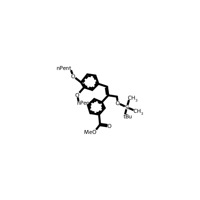 CCCCCOc1ccc(C=C(CO[Si](C)(C)C(C)(C)C)c2cccc(C(=O)OC)c2)cc1OCCCCC